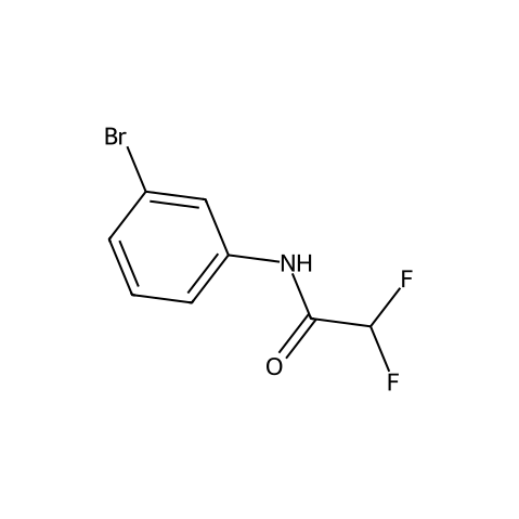 O=C(Nc1cccc(Br)c1)C(F)F